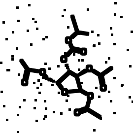 CC(=O)OC[C@H]1OC(OC(C)=O)[C@H](OC(C)=O)[C@H]1OC(=O)OC(C)C